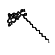 CCCCCCCCCCCCCCCCCC(=O)C1C[C@@]2(C)C(=CC(=O)[C@@H]3[C@@H]2CC[C@]2(C)C(=O)CC[C@@H]32)C[C@H]1O